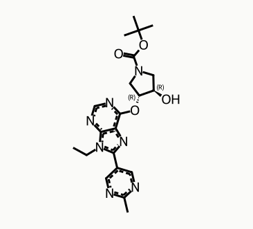 CCn1c(-c2cnc(C)nc2)nc2c(O[C@@H]3CN(C(=O)OC(C)(C)C)C[C@H]3O)ncnc21